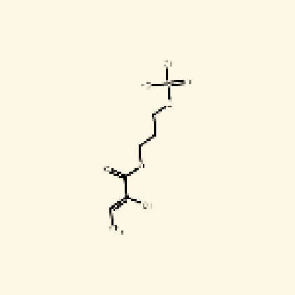 CC=C(O)C(=O)OCCCOP(=O)(O)O